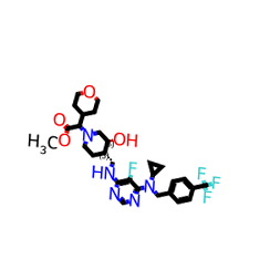 COC(=O)C(C1CCOCC1)N1CC[C@@H](CNc2ncnc(N(Cc3ccc(C(F)(F)F)cc3)C3CC3)c2F)[C@H](O)C1